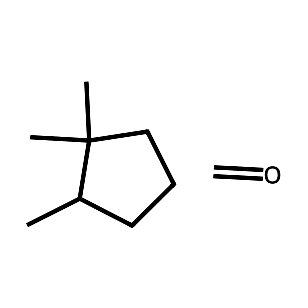 C=O.CC1CCCC1(C)C